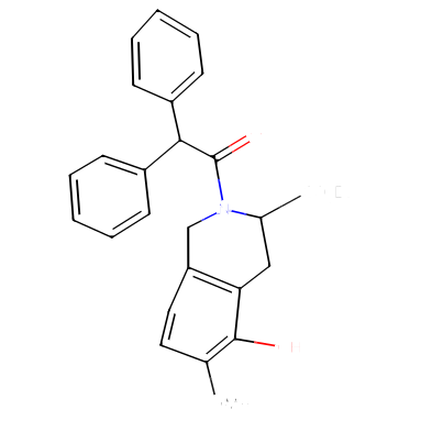 CCOC(=O)C1Cc2c(ccc(OC)c2O)CN1C(=O)C(c1ccccc1)c1ccccc1